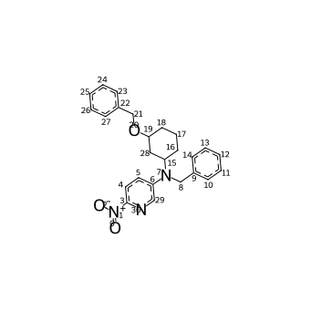 O=[N+]([O-])c1ccc(N(Cc2ccccc2)C2CCCC(OCc3ccccc3)C2)cn1